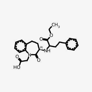 CCOC(=O)C(CCc1ccccc1)N[C@@H]1CCc2ccccc2N(CC(=O)O)C1=O